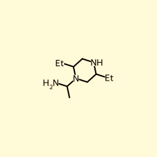 CCC1CN(C(C)N)C(CC)CN1